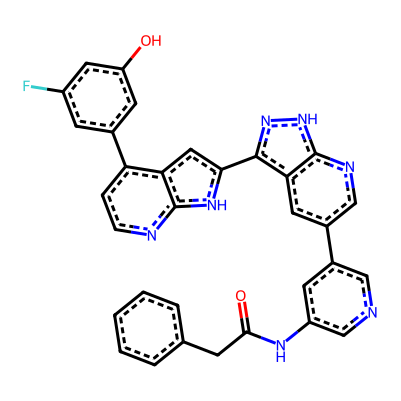 O=C(Cc1ccccc1)Nc1cncc(-c2cnc3[nH]nc(-c4cc5c(-c6cc(O)cc(F)c6)ccnc5[nH]4)c3c2)c1